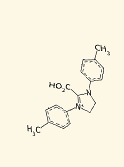 Cc1ccc(N2CC[N+](c3ccc(C)cc3)=C2C(=O)O)cc1